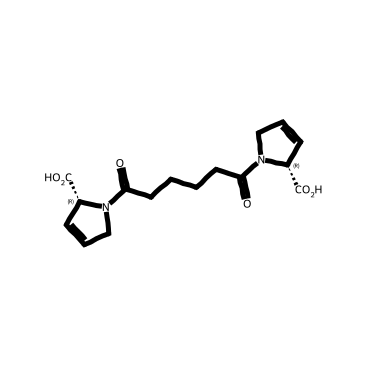 O=C(O)[C@H]1C=CCN1C(=O)CCCCC(=O)N1CC=C[C@@H]1C(=O)O